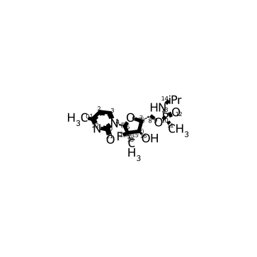 Cc1ccn([C@@H]2O[C@H](COP(C)(=O)NC(C)C)[C@@H](O)[C@@]2(C)F)c(=O)n1